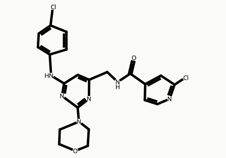 O=C(NCc1cc(Nc2ccc(Cl)cc2)nc(N2CCOCC2)n1)c1ccnc(Cl)c1